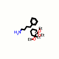 CCOC1(CC)CCCC[Si]1(OCC)OCC.NCCCCc1ccccc1